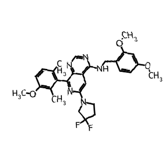 COc1ccc(CNc2ncnc3c(-c4c(C)ccc(OC)c4C)nc(N4CCC(F)(F)C4)cc23)c(OC)c1